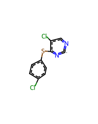 Clc1ccc(Sc2n[c]ncc2Cl)cc1